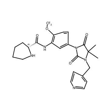 CC1(C)C(=O)N(c2ccc(OC(F)(F)F)c(NC(=O)[C@H]3CCCCN3)c2)C(=O)N1Cc1ccncc1